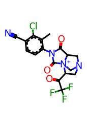 Cc1c(N2C(=O)C3CN4CC(C(=O)C(F)(F)F)[N+]3(C4)C2=O)ccc(C#N)c1Cl